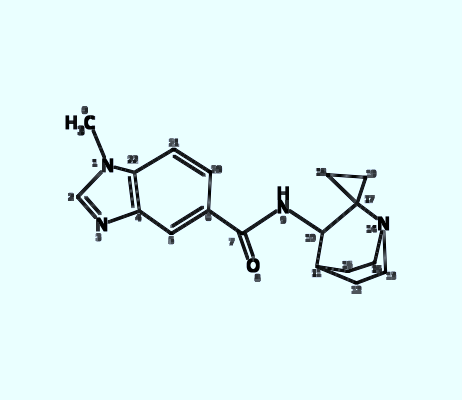 Cn1cnc2cc(C(=O)NC3C4CCN(CC4)C34CC4)ccc21